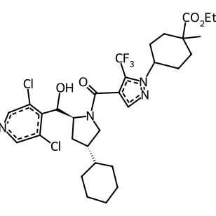 CCOC(=O)C1(C)CCC(n2ncc(C(=O)N3C[C@H](C4CCCCC4)C[C@H]3C(O)c3c(Cl)cncc3Cl)c2C(F)(F)F)CC1